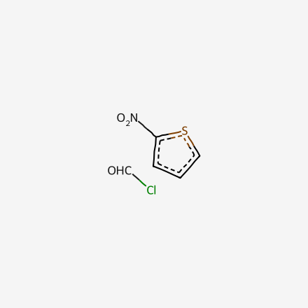 O=CCl.O=[N+]([O-])c1cccs1